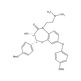 COc1ccc(Oc2ccc3c(c2)S[C@H](c2ccc(OC)cc2)[C@H](O)C(=O)N3CCN(C)C)cc1